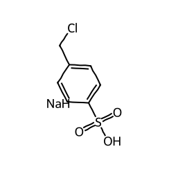 O=S(=O)(O)c1ccc(CCl)cc1.[NaH]